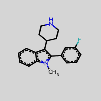 Cn1c(-c2cccc(F)c2)c(C2CCNCC2)c2ccccc21